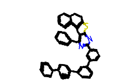 c1ccc(-c2ccc(-c3cccc(-c4cccc(-c5nc(-c6ccccc6)c6c(n5)sc5ccc7ccccc7c56)c4)c3)cc2)cc1